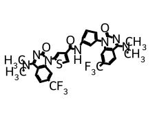 CN(C)c1nc(=O)n(-c2cccc(NC(=O)c3csc(-n4c(=O)nc(N(C)C)c5ccc(C(F)(F)F)cc54)c3)c2)c2cc(C(F)(F)F)ccc12